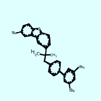 CC(C)(C)c1cc(-c2ccc(CC(C)(C)c3ccc4sc5ccc(C(C)(C)C)cc5c4c3)cc2)cc(C(C)(C)C)c1